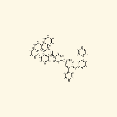 NC(/C=C(\C=C\C1C=CC=C(c2ccccc2)C1)c1ccccc1)c1ccc(NC2=C(C3=C4C5C=CC=CC5C=CC4C4C=CC=CC4=C3)CCC=C2)cc1